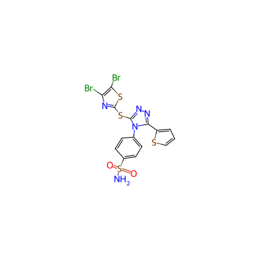 NS(=O)(=O)c1ccc(-n2c(Sc3nc(Br)c(Br)s3)nnc2-c2cccs2)cc1